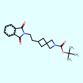 CC(C)(C)OC(=O)N1CC2(CC(CCN3C(=O)c4ccccc4C3=O)C2)C1